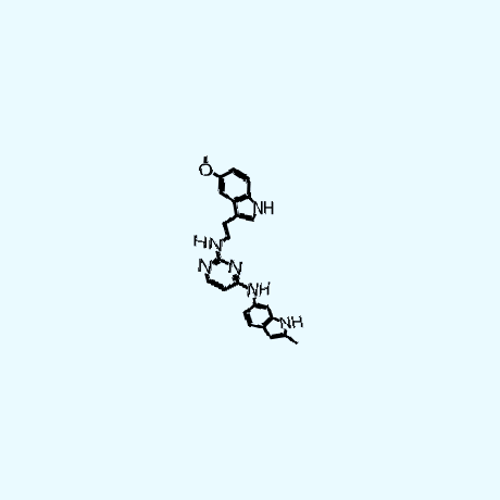 COc1ccc2[nH]cc(CCNc3nccc(Nc4ccc5cc(C)[nH]c5c4)n3)c2c1